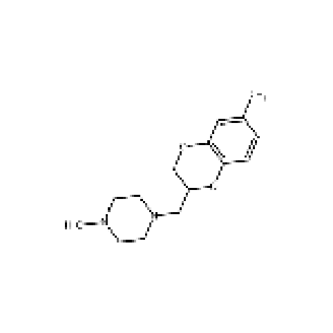 Cc1ccc2c(c1)OCC(CN1CCN(C)CC1)O2